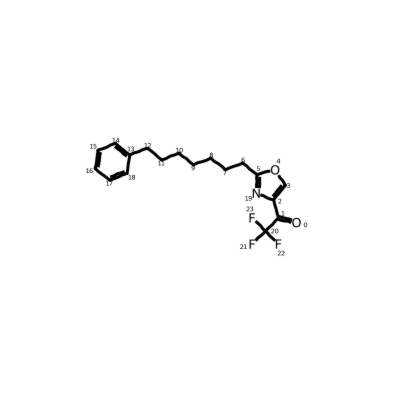 O=C(c1coc(CCCCCCCc2ccccc2)n1)C(F)(F)F